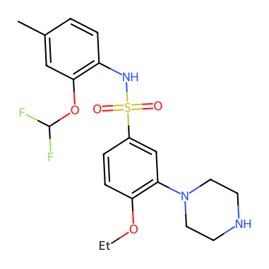 CCOc1ccc(S(=O)(=O)Nc2ccc(C)cc2OC(F)F)cc1N1CCNCC1